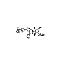 C=C1N(c2c(F)c(OC)cc(C(C)C)c2F)Cc2cnc(-c3ccc(C4(C#N)CCC4)nc3)cc2N1c1cccnc1